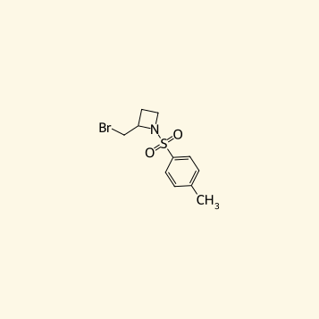 Cc1ccc(S(=O)(=O)N2CCC2CBr)cc1